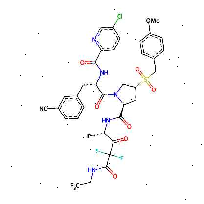 COc1ccc(CS(=O)(=O)[C@@H]2C[C@@H](C(=O)N[C@H](C(=O)C(F)(F)C(=O)NCC(F)(F)F)C(C)C)N(C(=O)[C@H](Cc3cccc(C#N)c3)NC(=O)c3ccc(Cl)cn3)C2)cc1